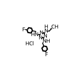 C#CCNc1nc(NCc2ccc(F)cc2)nc(NCc2ccc(F)cc2)n1.Cl